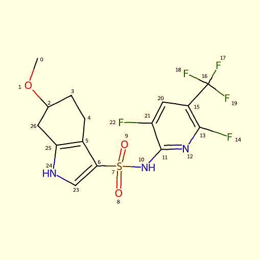 COC1CCc2c(S(=O)(=O)Nc3nc(F)c(C(F)(F)F)cc3F)c[nH]c2C1